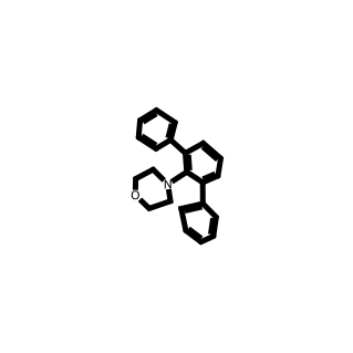 [c]1ccc(-c2ccccc2)c(N2CCOCC2)c1-c1ccccc1